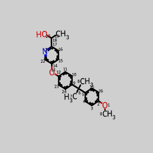 COc1ccc(C(C)(C)c2ccc(Oc3ccc(C(C)O)nc3)cc2)cc1